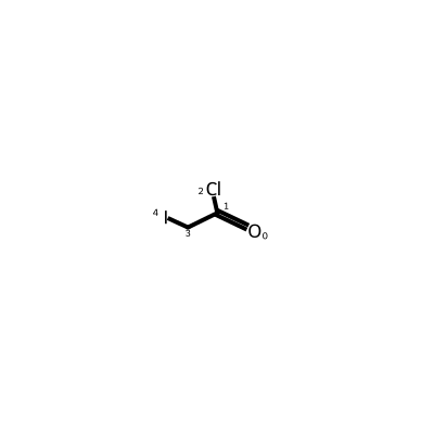 O=C(Cl)CI